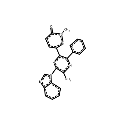 Cn1nc(-c2nc(-n3cnc4ccccc43)c(N)nc2-c2ccccc2)ccc1=O